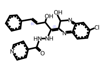 O=C(NN/C(=C1\N=c2ccc(Cl)cc2=NC1O)C(O)/C=C/c1ccccc1)c1ccncc1